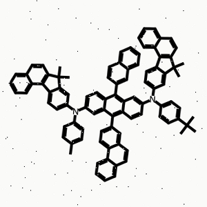 Cc1ccc(N(c2ccc3c(c2)C(C)(C)c2ccc4ccccc4c2-3)c2ccc3c(-c4ccc5ccccc5c4)c4cc(N(c5ccc(C(C)(C)C)cc5)c5ccc6c(c5)C(C)(C)c5ccc7ccccc7c5-6)ccc4c(-c4ccc5c(ccc6ccccc65)c4)c3c2)cc1